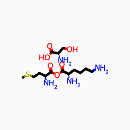 CSCC[C@H](N)C(=O)OC(=O)[C@@H](N)CCCCN.N[C@@H](CO)C(=O)O